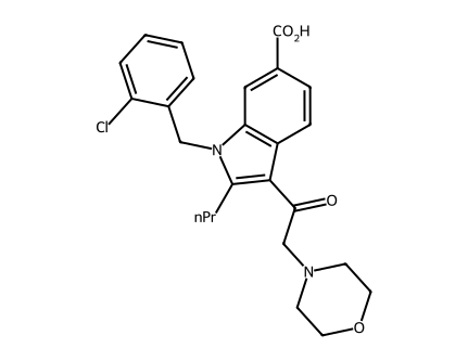 CCCc1c(C(=O)CN2CCOCC2)c2ccc(C(=O)O)cc2n1Cc1ccccc1Cl